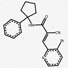 N#CC(=Cc1ncccc1Br)C(=O)NC1(c2ccccc2)CCCC1